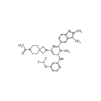 CC(=O)N1CCC2(CC1)CN(C1=CC(Nc3cc(OC(F)F)ccn3)N(C)C(c3ccc4nn(C)c(C)c4c3)=N1)C2